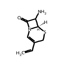 C=CC1=CN2C(=O)C(N)[C@H]2SC1